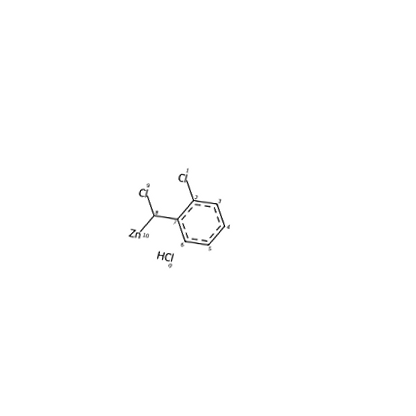 Cl.Clc1ccccc1[CH](Cl)[Zn]